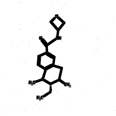 CC[C@H]1C(C)Cc2cc(C(=O)NC3COC3)ccc2N1C